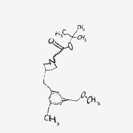 COc1cc(C)cc(CC2CN(C(=O)OC(C)(C)C)C2)c1